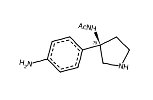 CC(=O)N[C@@]1(c2ccc(N)cc2)CCNC1